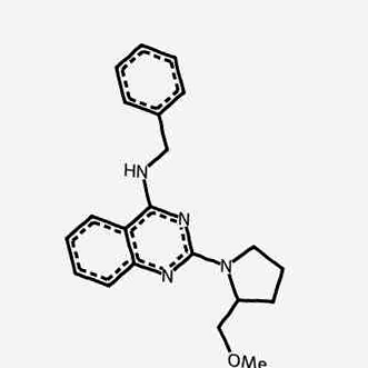 COCC1CCCN1c1nc(NCc2ccccc2)c2ccccc2n1